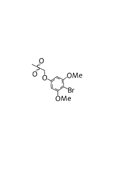 COc1cc(OCS(C)(=O)=O)cc(OC)c1Br